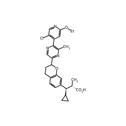 CCOc1cc(-c2ncc(C3CCc4ccc([C@H](C5CC5)[C@H](C)C(=O)O)cc4O3)nc2C)c(Cl)cn1